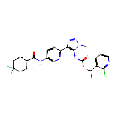 C[C@@H](OC(=O)Nc1c(-c2ccc(NC(=O)C3CCC(F)(F)CC3)cn2)nnn1C)c1cccnc1Cl